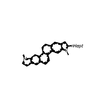 CCCCCCCc1cc2cc3ccc4c5cc6c(ccn6C)cc5ccc4c3cc2n1C